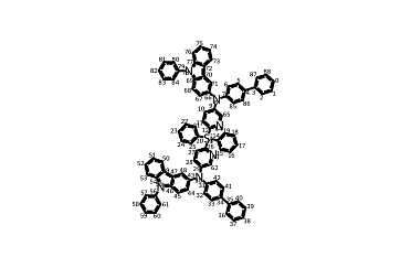 c1ccc(-c2ccc(N(c3ccc([Si](c4ccccc4)(c4ccccc4)c4ccc(N(c5ccc(-c6ccccc6)cc5)c5ccc6c(c5)c5ccccc5n6-c5ccccc5)cn4)nc3)c3ccc4c(c3)c3ccccc3n4-c3ccccc3)cc2)cc1